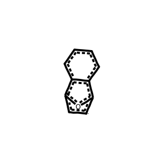 [c]1cc2oc1c1ccccc21